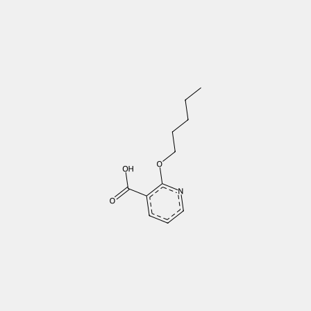 CCCCCOc1ncccc1C(=O)O